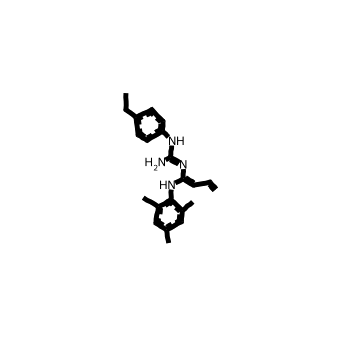 C=C/C=C(\N=C(/N)Nc1ccc(CC)cc1)Nc1c(C)cc(C)cc1C